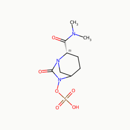 CN(C)C(=O)[C@@H]1CCC2CN1C(=O)N2OS(=O)(=O)O